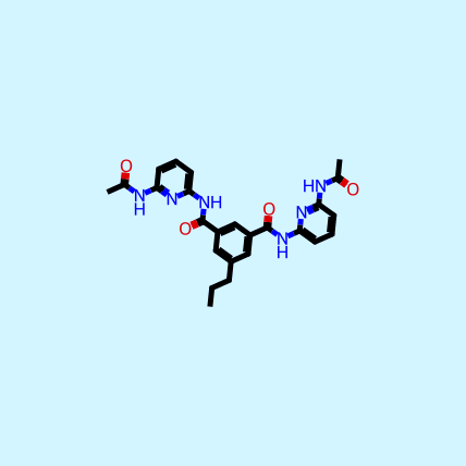 CCCc1cc(C(=O)Nc2cccc(NC(C)=O)n2)cc(C(=O)Nc2cccc(NC(C)=O)n2)c1